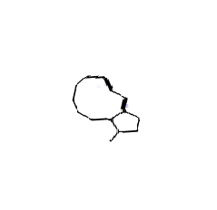 CC1CC/C2=C/C=C/CCCCCC21